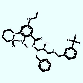 CCNc1cc(C(=O)N[C@@H](Cc2ccccc2)[C@@H](O)CNCc2cccc(C(F)(F)F)c2)c(OC)c(N2CCCCS2(O)O)c1